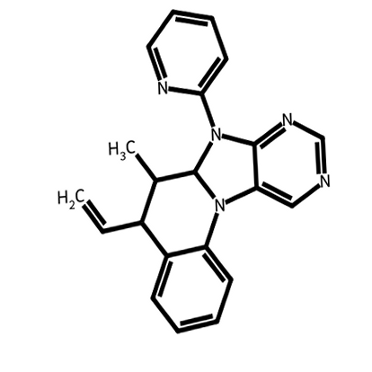 C=CC1c2ccccc2N2c3cncnc3N(c3ccccn3)C2C1C